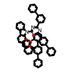 c1ccc(-c2ccc(-c3nc(-c4cccc(-c5ccccc5)c4)nc(-n4c5ccccc5c5ccc6c7ccccc7n(-c7ccccc7-c7ccc(-c8ccccc8)cc7-c7ccccc7)c6c54)n3)cc2)cc1